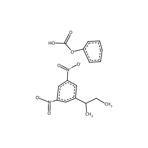 CCC(C)c1cc([N+](=O)[O-])cc([N+](=O)[O-])c1.O=C(O)Oc1ccccc1